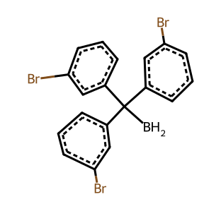 BC(c1cccc(Br)c1)(c1cccc(Br)c1)c1cccc(Br)c1